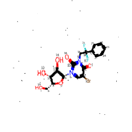 O=c1c(Br)cn([C@@H]2O[C@H](CO)[C@H](O)C2O)c(=O)n1CC(F)(F)c1ccccc1